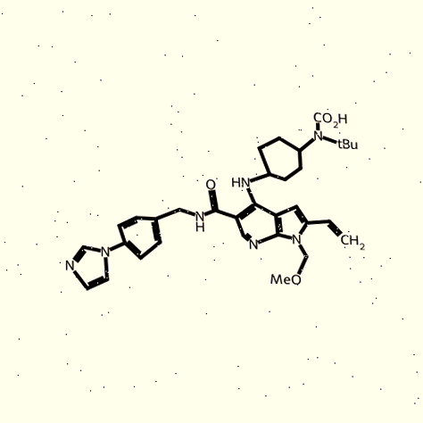 C=Cc1cc2c(NC3CCC(N(C(=O)O)C(C)(C)C)CC3)c(C(=O)NCc3ccc(-n4ccnc4)cc3)cnc2n1COC